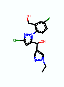 CCn1cc(C(O)c2cc(Cl)nn2-c2ccc(F)cc2CO)cn1